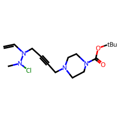 C=CN(CC#CCN1CCN(C(=O)OC(C)(C)C)CC1)N(C)Cl